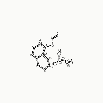 C=CCc1nccc2ccccc12.[O-][Cl+2]([O-])O